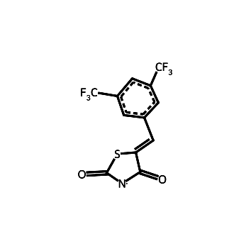 O=C1[N]C(=O)C(=Cc2cc(C(F)(F)F)cc(C(F)(F)F)c2)S1